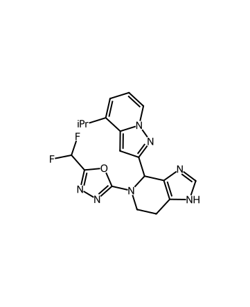 CC(C)c1cccn2nc(C3c4nc[nH]c4CCN3c3nnc(C(F)F)o3)cc12